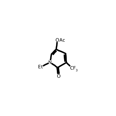 CCn1cc(OC(C)=O)cc(C(F)(F)F)c1=O